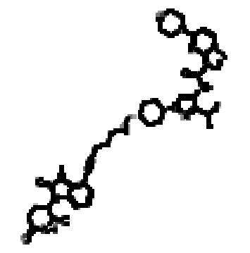 Cn1c(=O)n(C2CCC(=O)NC2=O)c2cccc(C#CCCCNC[C@H]3CC[C@H](n4cc(NC(=O)c5cnn6ccc(N7CCOCC7)nc56)c(C(F)F)n4)CC3)c21